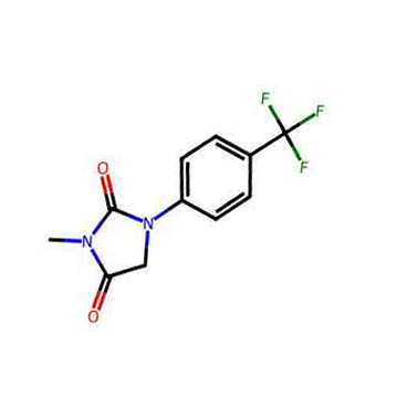 CN1C(=O)CN(c2ccc(C(F)(F)F)cc2)C1=O